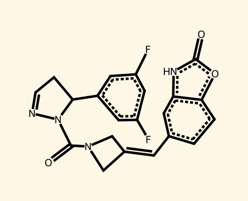 O=C(N1CC(=Cc2ccc3oc(=O)[nH]c3c2)C1)N1N=CCC1c1cc(F)cc(F)c1